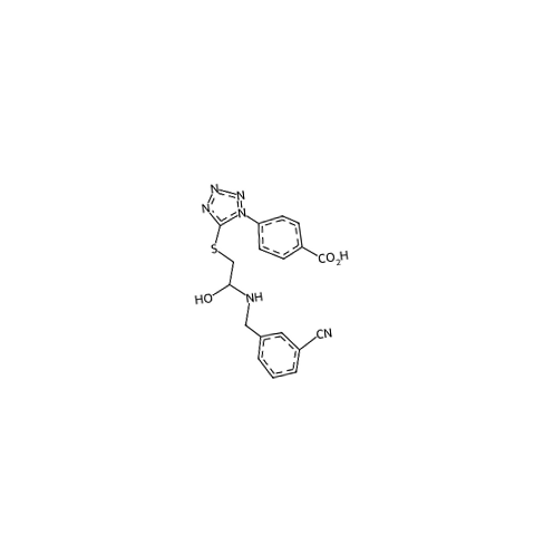 N#Cc1cccc(CNC(O)CSc2nnnn2-c2ccc(C(=O)O)cc2)c1